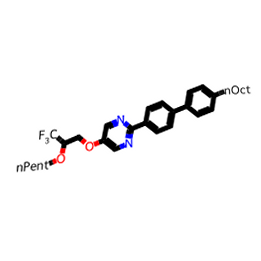 CCCCCCCCc1ccc(-c2ccc(-c3ncc(OCC(OCCCCC)C(F)(F)F)cn3)cc2)cc1